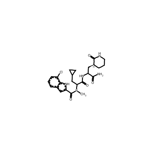 CN(C(=O)c1cc2cccc(Cl)c2[nH]1)C(CC1CC1)C(=O)NC(C[C@@H]1CCCNC1=O)C(N)=O